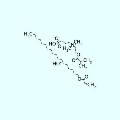 C=C(C)C(=O)OCC[N+](C)(C)CCCS(=O)(=O)O.C=CC(=O)OCCCCCCCCCCCCCCCCCC.[OH-]